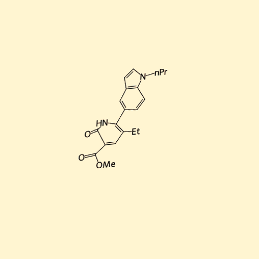 CCCn1ccc2cc(-c3[nH]c(=O)c(C(=O)OC)cc3CC)ccc21